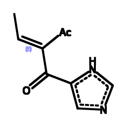 C/C=C(\C(C)=O)C(=O)c1cnc[nH]1